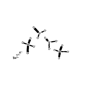 O=[N+]([O-])[O-].O=[N+]([O-])[O-].[Ba+2].[K+].[O]=[W](=[O])([O-])[O-].[O]=[W](=[O])([O-])[O-].[Y+3]